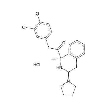 C[C@@]1(C(=O)Cc2ccc(Cl)c(Cl)c2)NC(N2CCCC2)Cc2ccccc21.Cl